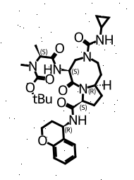 C[C@@H](C(=O)N[C@H]1CN(C(=O)NC2CC2)CC[C@H]2CC[C@@H](C(=O)N[C@@H]3CCOc4ccccc43)N2C1=O)N(C)C(=O)OC(C)(C)C